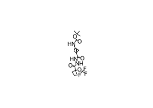 CC(C)(C)OC(=O)NC12CC(C(=O)NNC(=O)C3(OC(F)(F)F)CCC3)(C1)C2